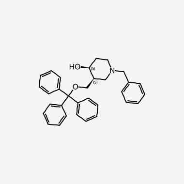 O[C@H]1CCN(Cc2ccccc2)C[C@H]1COC(c1ccccc1)(c1ccccc1)c1ccccc1